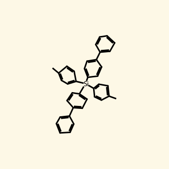 Cc1ccc([Si](c2ccc(C)cc2)(c2ccc(-c3ccccc3)cc2)c2ccc(-c3ccccc3)cc2)cc1